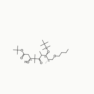 CCCCOC[C@H](C)[C@H](O[Si](C)(C)C(C)(C)C)C(C)C(=O)C(C)(C)[C@@H](O)CC(=O)OC(C)(C)C